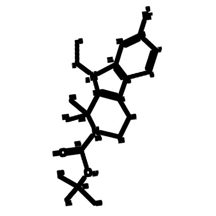 CCn1c2c(c3ccc(Br)cc31)CCN(C(=O)OC(C)(C)C)C2(C)C